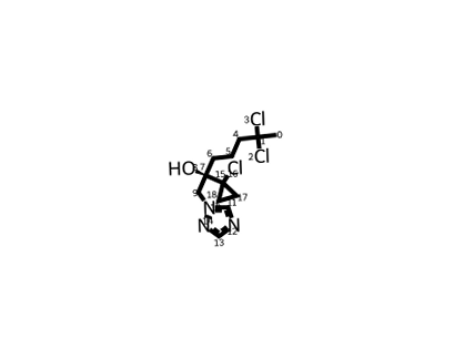 CC(Cl)(Cl)CCC[C@@](O)(Cn1cncn1)C1(Cl)CC1